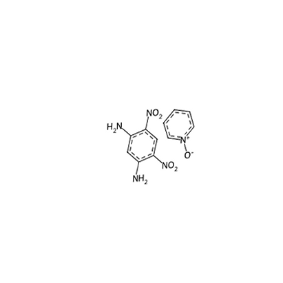 Nc1cc(N)c([N+](=O)[O-])cc1[N+](=O)[O-].[O-][n+]1ccccc1